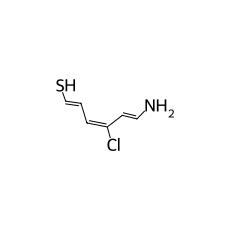 N/C=C/C(Cl)=C\C=C\S